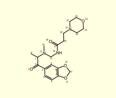 CC(C(=O)c1ccc2c(c1)OCO2)N(C)CNC(=O)CCN1CCOCC1